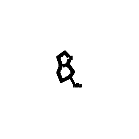 CCCCc1ccn2ccnc2c1